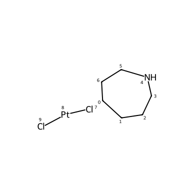 C1CCCNCC1.[Cl][Pt][Cl]